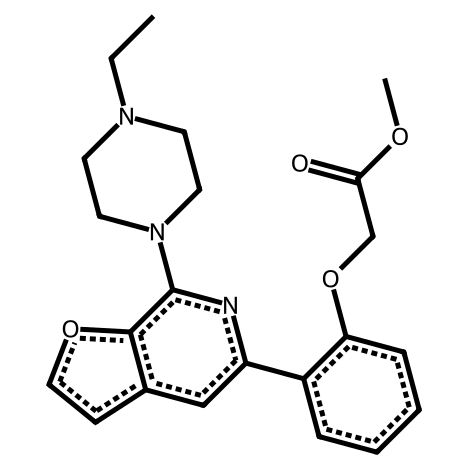 CCN1CCN(c2nc(-c3ccccc3OCC(=O)OC)cc3ccoc23)CC1